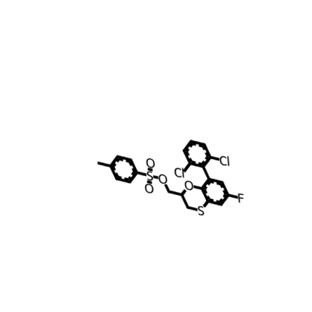 Cc1ccc(S(=O)(=O)OCC2CSc3cc(F)cc(-c4c(Cl)cccc4Cl)c3O2)cc1